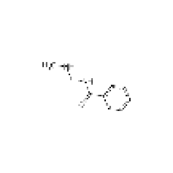 CNCNC(=O)c1ccccc1